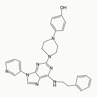 Oc1ccc(N2CCN(c3nc(NCCc4ccccc4)c4ncn(-c5cccnc5)c4n3)CC2)cc1